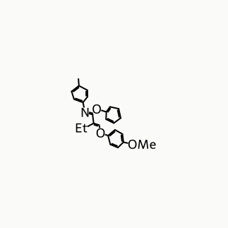 CCC(=C\Oc1ccc(OC)cc1)/C(=N/c1ccc(C)cc1)Oc1ccccc1